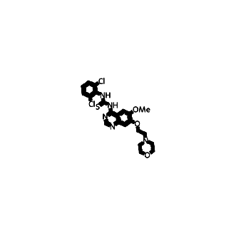 COc1cc2c(NC(=S)Nc3c(Cl)cccc3Cl)ncnc2cc1OCCN1CCOCC1